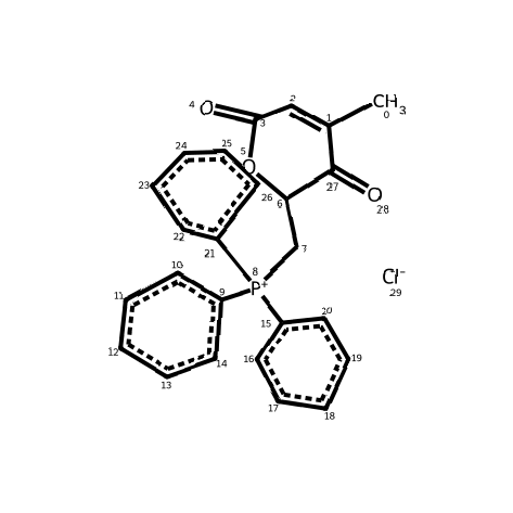 CC1=CC(=O)OC(C[P+](c2ccccc2)(c2ccccc2)c2ccccc2)C1=O.[Cl-]